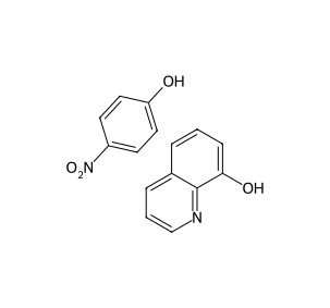 O=[N+]([O-])c1ccc(O)cc1.Oc1cccc2cccnc12